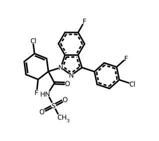 CS(=O)(=O)NC(=O)C1(n2nc(-c3ccc(Cl)c(F)c3)c3cc(F)ccc32)C=C(Cl)C=CC1F